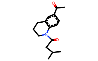 CC(=O)c1ccc2c(c1)CCCN2C(=O)CC(C)C